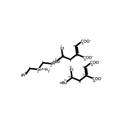 CC(C)[CH2][SnH2+4][CH2]C(C)C.CCCCC(CC)C/C(=C/C(=O)[O-])C(=O)[O-].CCCCC(CC)C/C(=C/C(=O)[O-])C(=O)[O-]